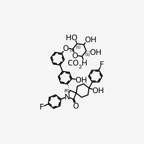 O=C(O)C1O[C@@H](Oc2cccc(-c3ccc([C@H]4N(c5ccc(F)cc5)C(=O)C45CCC(O)(c4ccc(F)cc4)CC5)c(O)c3)c2)[C@@H](O)C(O)[C@@H]1O